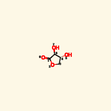 O=C1OC[C@@H](O)[C@@H]1O